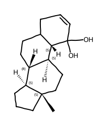 C[C@@]12CCC[C@H]1[C@@H]1CCC3CC=CC(O)(O)[C@@H]3[C@H]1CC2